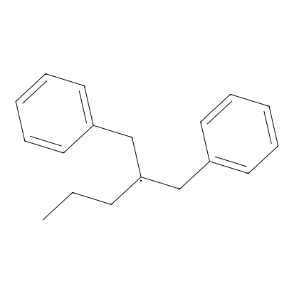 CCC[C](Cc1ccccc1)Cc1ccccc1